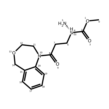 COC(=O)[Si@@H](N)CCC(=O)N1CCOCc2ccccc21